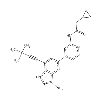 CC(C)(C)C#Cc1cc(-c2ccnc(NC(=O)CC3CC3)c2)cc2c(N)n[nH]c12